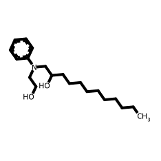 CCCCCCCCCCC(O)CN(CCO)c1ccccc1